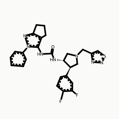 O=C(Nc1c2c(nn1-c1ccccc1)CCC2)N[C@@H]1CN(Cc2csnn2)C[C@H]1c1ccc(F)c(F)c1